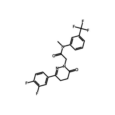 CN(C(=O)CN1N=C(c2ccc(F)c(F)c2)CCC1=O)c1cccc(C(F)(F)F)c1